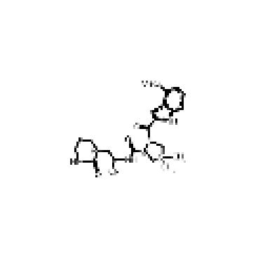 COc1cccc2[nH]c(C(=O)N3C[Si](C)(C)C[C@H]3C(=O)NC(C#N)C[C@@H]3CCCNC3=O)cc12